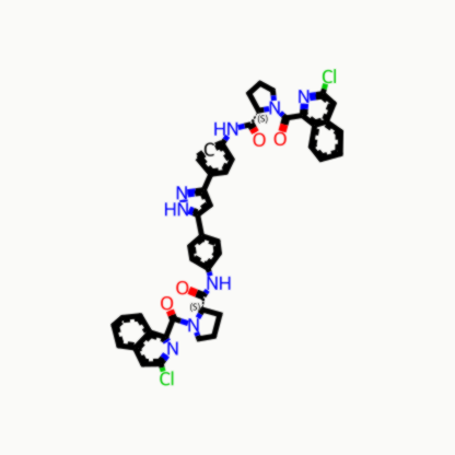 O=C(Nc1ccc(-c2cc(-c3ccc(NC(=O)[C@@H]4CCCN4C(=O)c4nc(Cl)cc5ccccc45)cc3)[nH]n2)cc1)[C@@H]1CCCN1C(=O)c1nc(Cl)cc2ccccc12